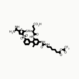 CSc1sc(C(=N)N)cc1S(=O)(=O)c1cccc(-c2c(C)cc(NC(=O)NCCCCCC(=O)OC(=O)C(F)(F)F)cc2NC(=O)CCCC(=O)O)c1